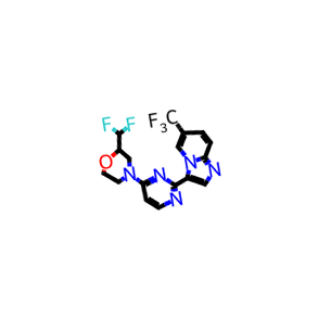 FC(F)C1CN(c2ccnc(-c3cnc4ccc(C(F)(F)F)cn34)n2)CCO1